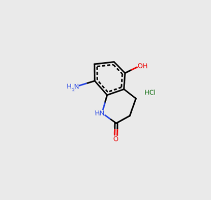 Cl.Nc1ccc(O)c2c1NC(=O)CC2